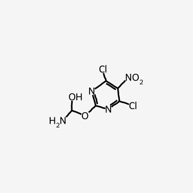 NC(O)Oc1nc(Cl)c([N+](=O)[O-])c(Cl)n1